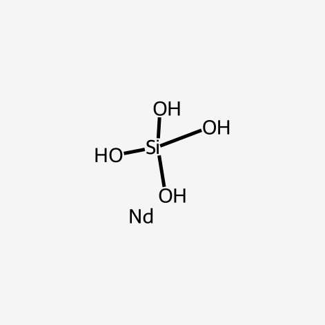 O[Si](O)(O)O.[Nd]